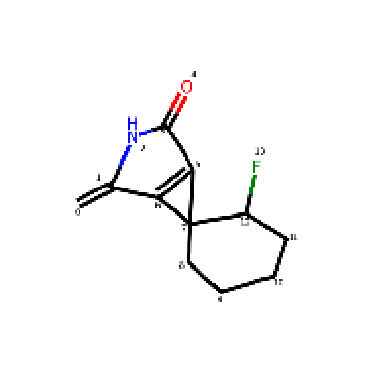 C=C1NC(=O)C2=C1C21CCCCC1F